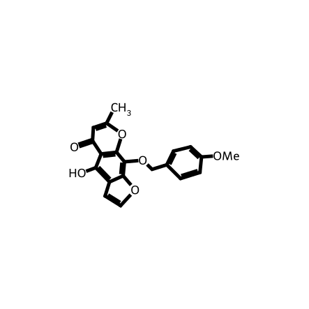 COc1ccc(COc2c3occc3c(O)c3c(=O)cc(C)oc23)cc1